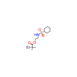 CCC(C)(C)C(=O)OCCNS(=O)(=O)C1CCCCC1